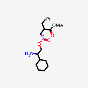 COC(=O)C(CC(C)C)C[PH](=O)OCC(N)C1CCCCC1